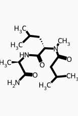 CC(C)CC(=O)N(C)[C@@H](CC(C)C)C(=O)N[C@H](C)C(N)=O